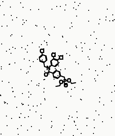 CCOP(=O)(Cc1ccc(C(=O)N(Cc2ccc(Cl)cc2)c2ccc(Cl)c(Cl)c2)cc1)OCC